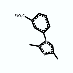 CCOC(=O)c1cccc(-n2cc(C)nc2C)c1